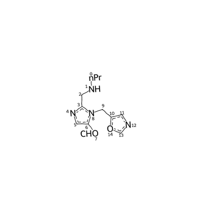 CCCNCc1ncc(C=O)n1Cc1cnco1